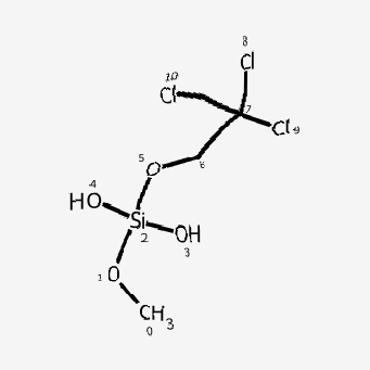 CO[Si](O)(O)OCC(Cl)(Cl)Cl